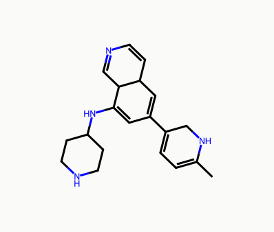 CC1=CC=C(C2=CC3C=CN=CC3C(NC3CCNCC3)=C2)CN1